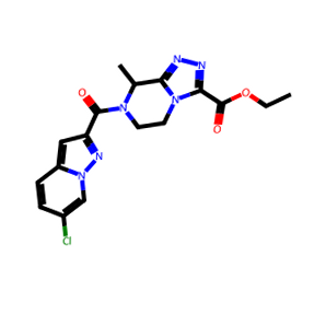 CCOC(=O)c1nnc2n1CCN(C(=O)c1cc3ccc(Cl)cn3n1)C2C